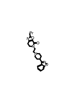 CC(C)c1nc2c(o1)C(=O)N(CCN1CCC(c3noc4ccccc34)CC1)CC2